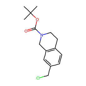 CC(C)(C)OC(=O)N1CCc2ccc(CCl)cc2C1